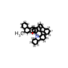 CC1C=c2ccc(-c3cccc4c3C3(c5ccccc5-4)c4ccccc4-n4c5ccccc5c5cccc3c54)cc2=C2C=CC=CC21